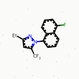 CCc1cc(C(F)(F)F)n(-c2cccc3c(F)cccc23)n1